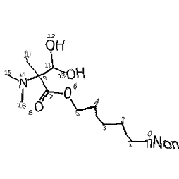 CCCCCCCCCCCCCCOC(=O)C(C)(C(O)O)N(C)C